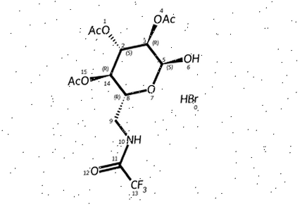 Br.CC(=O)O[C@@H]1[C@@H](OC(C)=O)[C@@H](O)O[C@H](CNC(=O)C(F)(F)F)[C@H]1OC(C)=O